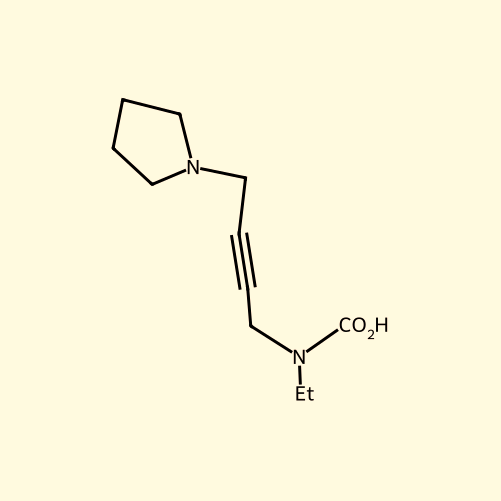 CCN(CC#CCN1CCCC1)C(=O)O